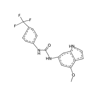 COc1cc(NC(=O)Nc2ccc(C(F)(F)F)cc2)cc2[nH]ccc12